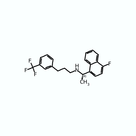 C[C@@H](NCCCc1cccc(C(F)(F)F)c1)c1ccc(F)c2ccccc12